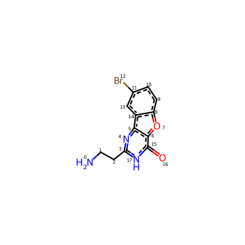 NCCc1nc2c(oc3ccc(Br)cc32)c(=O)[nH]1